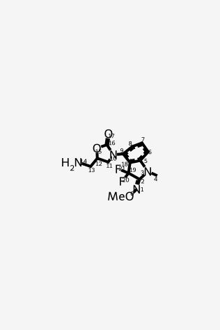 CON=C1N(C)c2cccc(N3CC(CN)OC3=O)c2C1(F)F